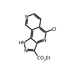 CCOC(=O)c1n[nH]c2c1nc(Cl)c1ccncc12